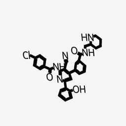 N#Cc1c(-c2cccc(C(=O)NCC3CCCCN3)c2)cc(-c2ccccc2O)nc1NC(=O)c1ccc(Cl)cc1